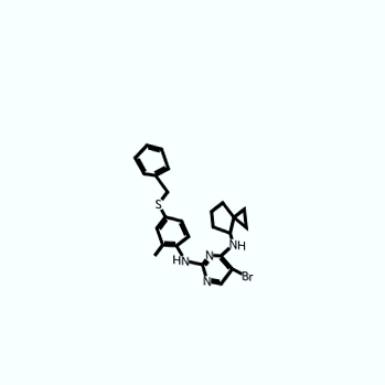 Cc1cc(SCc2ccccc2)ccc1Nc1ncc(Br)c(NC2CCCC23CC3)n1